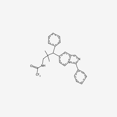 CC(C)(CNC(=O)C(F)(F)F)C(c1ccccc1)c1ccn2c(-c3ccccc3)ncc2c1